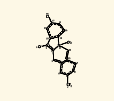 [O-][N+]1=C2C=c3cc(C(F)(F)F)ccc3=C[N+]2([O-])c2ccc(Cl)cc21